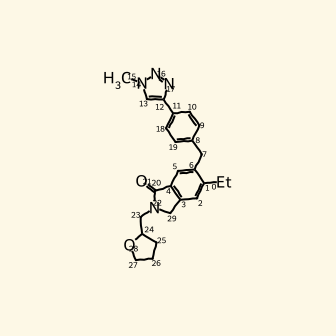 CCc1cc2c(cc1Cc1ccc(-c3cn(C)nn3)cc1)C(=O)N(CC1CCCO1)C2